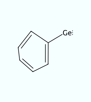 [Ge][c]1ccccc1